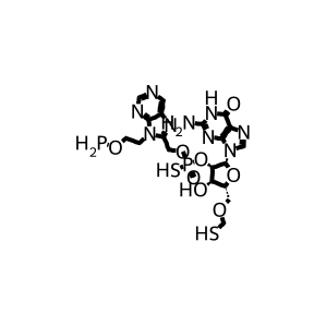 Nc1nc2c(ncn2[C@@H]2O[C@H](COCS)[C@@H](O)[C@H]2OP(=O)(S)OCc2nc3cncnc3n2CCOP)c(=O)[nH]1